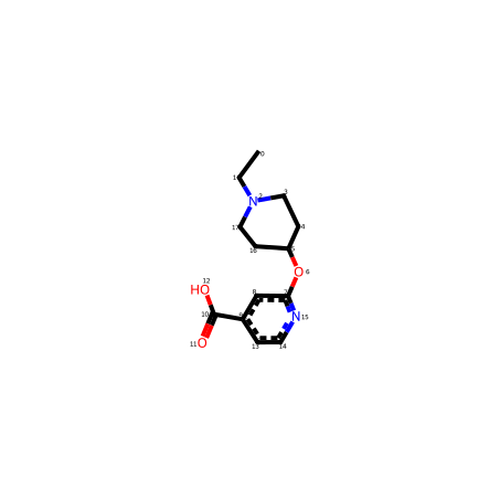 CCN1CCC(Oc2cc(C(=O)O)ccn2)CC1